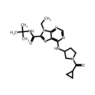 CCn1c(C(=O)NC(C)(C)C)nc2c(NC3CCN(C(=O)C4CC4)C3)ncnc21